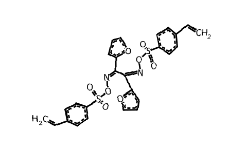 C=Cc1ccc(S(=O)(=O)O/N=C(\C(=N/OS(=O)(=O)c2ccc(C=C)cc2)c2ccco2)c2ccco2)cc1